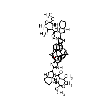 COC(=O)N[C@H](C(=O)N1[C@H](c2nc3cc(-c4cc5ccc4CCc4ccc(c(-c6cc7nc([C@@H]8C[C@@H]9CCCC[C@@H]9N8C(=O)[C@@H](NC(=O)OC)C(C)C)[nH]c7cc6C6CC6)c4)CC5)c(C4CC4)cc3[nH]2)C[C@@H]2CCCC[C@@H]21)C(C)C